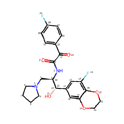 O=C(N[C@H](CN1CCCC1)[C@@H](O)c1cc(F)c2c(c1)OCCO2)C(=O)c1ccc(F)cc1